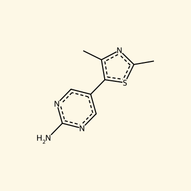 Cc1nc(C)c(-c2cnc(N)nc2)s1